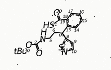 CC(C)(C)OC(=O)NCC[C@H](c1ccns1)c1ccccc1C(=O)S